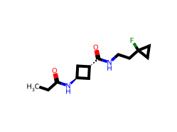 CCC(=O)N[C@H]1C[C@H](C(=O)NCCC2(F)CC2)C1